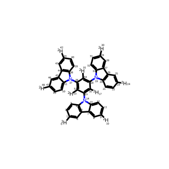 [2H]c1ccc2c(c1)c1cc([2H])ccc1n2-c1c([2H])c(-n2c3ccc([2H])cc3c3cc([2H])ccc32)c([2H])c(-n2c3ccc([2H])cc3c3cc([2H])ccc32)c1[2H]